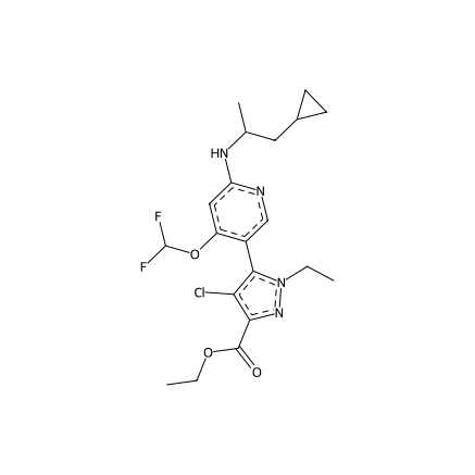 CCOC(=O)c1nn(CC)c(-c2cnc(NC(C)CC3CC3)cc2OC(F)F)c1Cl